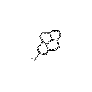 Cc1cc2[c]cc3cccc4ccc(c1)c2c34